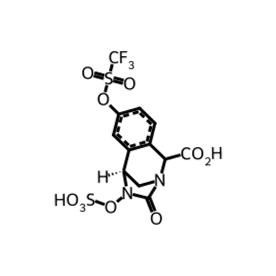 O=C(O)C1c2ccc(OS(=O)(=O)C(F)(F)F)cc2[C@H]2CN1C(=O)N2OS(=O)(=O)O